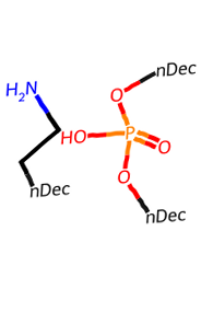 CCCCCCCCCCCCN.CCCCCCCCCCOP(=O)(O)OCCCCCCCCCC